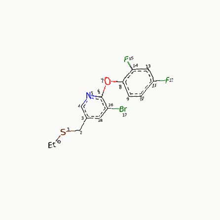 CCSCc1cnc(Oc2ccc(F)cc2F)c(Br)c1